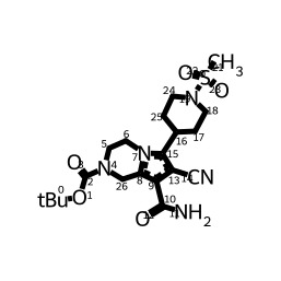 CC(C)(C)OC(=O)N1CCn2c(c(C(N)=O)c(C#N)c2C2CCN(S(C)(=O)=O)CC2)C1